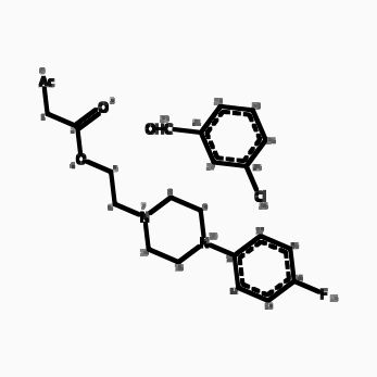 CC(=O)CC(=O)OCCN1CCN(c2ccc(F)cc2)CC1.O=Cc1cccc(Cl)c1